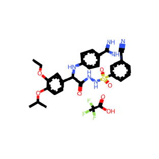 CCOc1cc(C(Nc2ccc(C(=N)N)cc2)C(=O)NNS(=O)(=O)c2cccc(C#N)c2)ccc1OC(C)C.O=C(O)C(F)(F)F